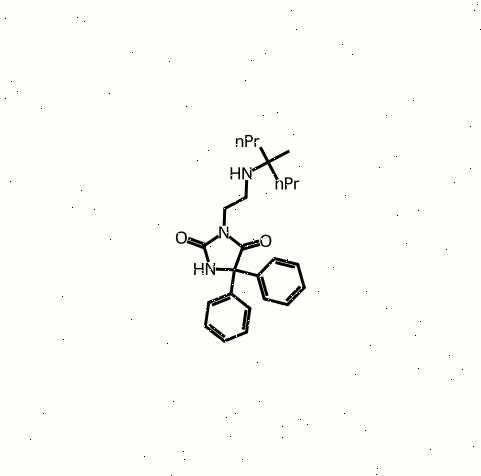 CCCC(C)(CCC)NCCN1C(=O)NC(c2ccccc2)(c2ccccc2)C1=O